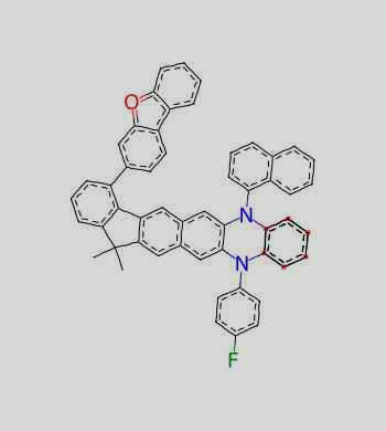 CC1(C)c2cc3cc(N(c4ccccc4)c4ccc(F)cc4)c(N(c4ccccc4)c4cccc5ccccc45)cc3cc2-c2c(-c3ccc4c(c3)oc3ccccc34)cccc21